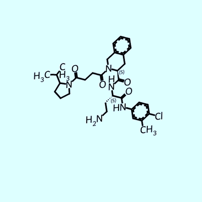 Cc1cc(NC(=O)[C@H](CCN)NC(=O)[C@@H]2Cc3ccccc3CN2C(=O)CCC(=O)N2CCCC2C(C)C)ccc1Cl